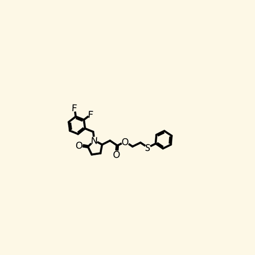 O=C(CC1CCC(=O)N1Cc1cccc(F)c1F)OCCSc1ccccc1